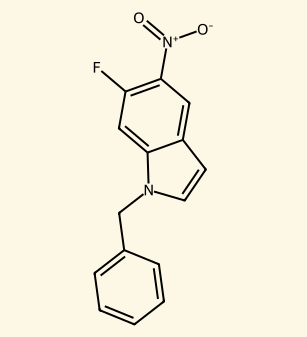 O=[N+]([O-])c1cc2ccn(Cc3ccccc3)c2cc1F